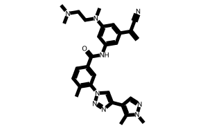 C=C(C#N)c1cc(NC(=O)c2ccc(C)c(-n3cc(-c4cnn(C)c4C)nn3)c2)cc(N(C)CCN(C)C)c1